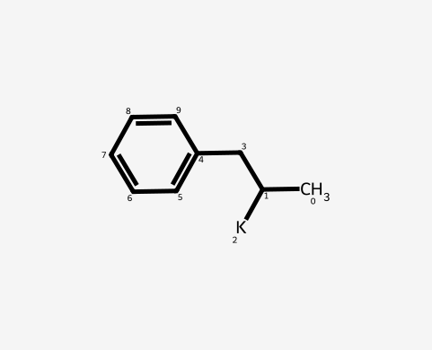 C[CH]([K])Cc1ccccc1